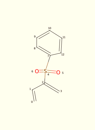 C=CC(=C)S(=O)(=O)c1ccccc1